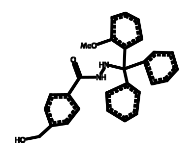 COc1ccccc1C(NNC(=O)c1ccc(CO)cc1)(c1ccccc1)c1ccccc1